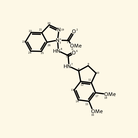 COC(=O)[N+]1(NC(=O)NC2CCc3c2ccc(OC)c3OC)N=Cc2ccccc21